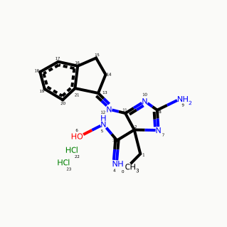 CCC1(C(=N)NO)N=C(N)N=C1N=C1CCc2ccccc21.Cl.Cl